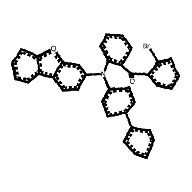 O=C(c1ccccc1Br)c1ccccc1N(c1ccc(-c2ccccc2)cc1)c1ccc2c(c1)oc1ccccc12